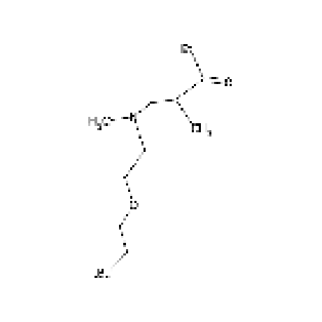 CCC(=O)C(C)CN(C)CCOCCC(C)(C)C